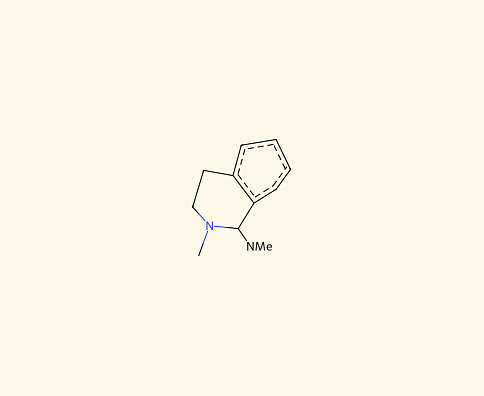 CNC1c2ccccc2CCN1C